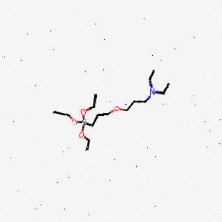 CCO[Si](CCCOCCCN(CC)CC)(OCC)OCC